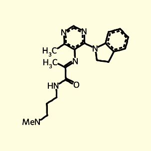 CNCCCNC(=O)/C(C)=N/c1c(C)ncnc1N1CCc2ccccc21